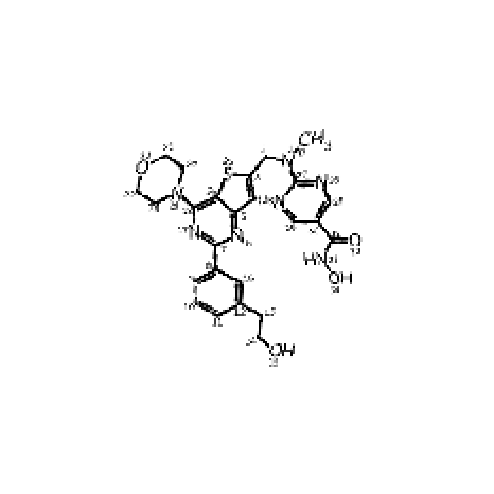 CN(Cc1cc2nc(-c3cccc(CCO)c3)nc(N3CCOCC3)c2s1)c1ncc(C(=O)NO)cn1